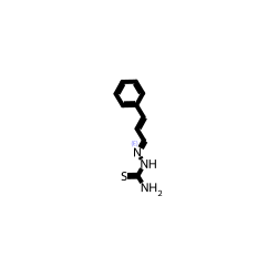 NC(=S)N/N=C/C=Cc1ccccc1